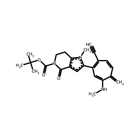 C#CC1=C(c2cc3c(n2C)CCN(C(=O)OC(C)(C)C)C3=O)C=C(NC)C(=C)C=C1